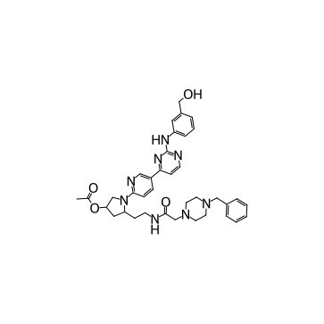 CC(=O)OC1CC(CCNC(=O)CN2CCN(Cc3ccccc3)CC2)N(c2ccc(-c3ccnc(Nc4cccc(CO)c4)n3)cn2)C1